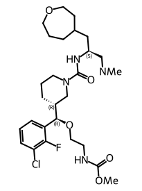 CNC[C@H](CC1CCCOCC1)NC(=O)N1CCC[C@@H]([C@@H](OCCNC(=O)OC)c2cccc(Cl)c2F)C1